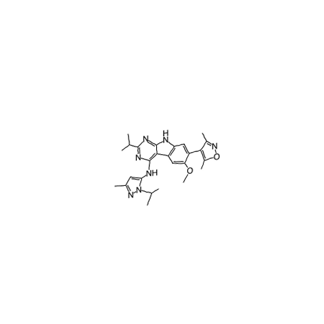 COc1cc2c(cc1-c1c(C)noc1C)[nH]c1nc(C(C)C)nc(Nc3cc(C)nn3C(C)C)c12